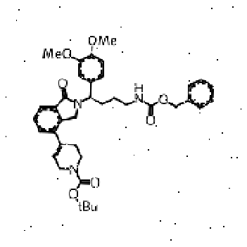 COc1ccc([C@@H](CCCNC(=O)OCc2ccccc2)N2Cc3c(cccc3C3=CCN(C(=O)OC(C)(C)C)CC3)C2=O)cc1OC